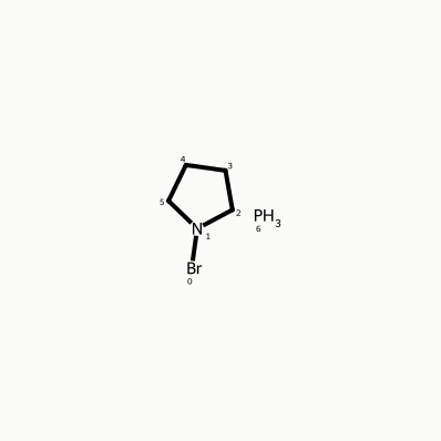 BrN1CCCC1.P